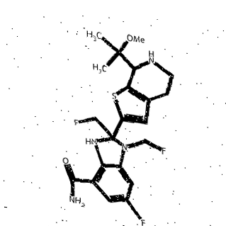 COC(C)(C)C1NCCc2cc(C3(CF)Nc4c(C(N)=O)cc(F)cc4N3CF)sc21